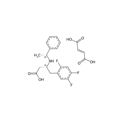 C[C@@H](N[C@@H](CC(=O)O)Cc1cc(F)c(F)cc1F)c1ccccc1.O=C(O)C=CC(=O)O